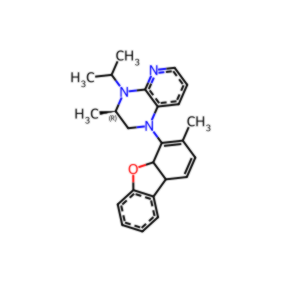 CC1=C(N2C[C@@H](C)N(C(C)C)c3ncccc32)C2Oc3ccccc3C2C=C1